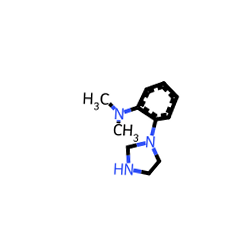 CN(C)c1ccccc1N1CCNC1